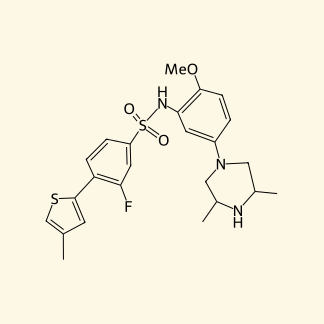 COc1ccc(N2CC(C)NC(C)C2)cc1NS(=O)(=O)c1ccc(-c2cc(C)cs2)c(F)c1